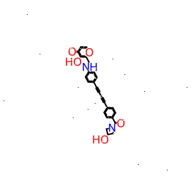 O=C(c1ccc(C#CC#Cc2ccc(NCc3occc(=O)c3O)cc2)cc1)N1CC(O)C1